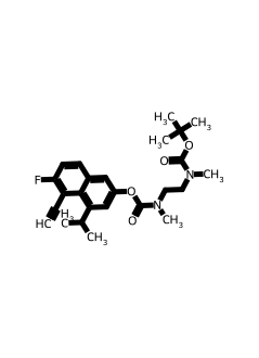 C#Cc1c(F)ccc2cc(OC(=O)N(C)CCN(C)C(=O)OC(C)(C)C)cc(C(C)C)c12